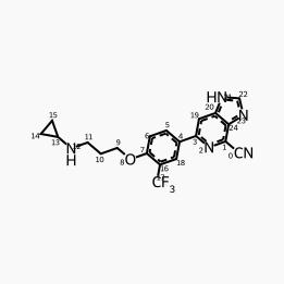 N#Cc1nc(-c2ccc(OCCCNC3CC3)c(C(F)(F)F)c2)cc2[nH]cnc12